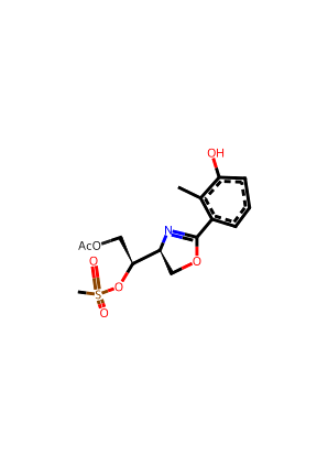 CC(=O)OC[C@H](OS(C)(=O)=O)[C@@H]1COC(c2cccc(O)c2C)=N1